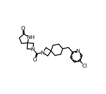 O=C1CCC2(CN(C(=O)N3CC4(CCC(Cc5ccc(Cl)cn5)CC4)C3)C2)N1